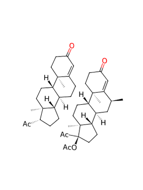 CC(=O)O[C@]1(C(C)=O)CC[C@H]2[C@@H]3C[C@H](C)C4=CC(=O)CC[C@]4(C)[C@H]3CC[C@@]21C.CC(=O)[C@H]1CC[C@H]2[C@@H]3CCC4=CC(=O)CC[C@]4(C)[C@H]3CC[C@]12C